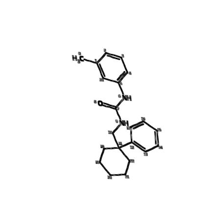 Cc1cccc(NC(=O)NCC2(c3ccccc3)CCCCC2)c1